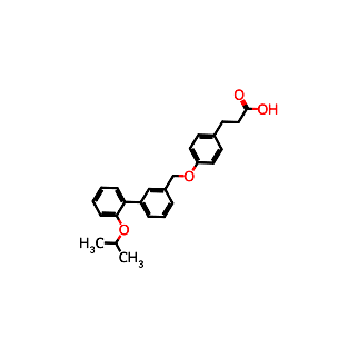 CC(C)Oc1ccccc1-c1cccc(COc2ccc(CCC(=O)O)cc2)c1